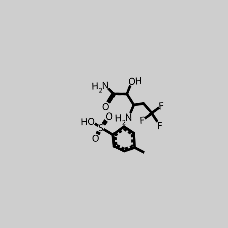 Cc1ccc(S(=O)(=O)O)cc1.NC(=O)C(O)C(N)CC(F)(F)F